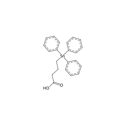 O=C(O)CC[CH2][Sn]([c]1ccccc1)([c]1ccccc1)[c]1ccccc1